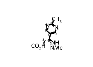 CNN[C@H](CC(=O)O)c1cnc(C)nc1